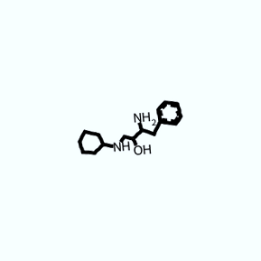 NC(Cc1ccccc1)C(O)CNC1CCCCC1